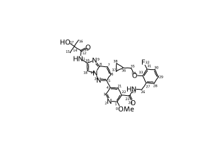 COc1ncc(-c2ccc3nc(NC(=O)C(C)(C)O)cn3n2)cc1C(=O)NCc1cccc(F)c1OCC1CC1